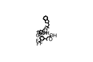 CC(CC(=O)O)c1cc(C(F)(F)F)cc(S(=O)(=O)N(C)CC(O)CNC(C)(C)CC2Cc3ccccc3C2)c1